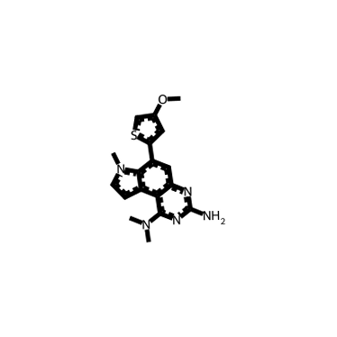 COc1csc(-c2cc3nc(N)nc(N(C)C)c3c3ccn(C)c23)c1